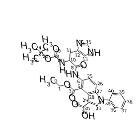 CCOC(=O)c1c(NC(=O)C(Cc2c[nH]cn2)NC(=O)OC(C)(C)C)ccc2c1c(C(=O)O)cn2-c1ccccc1